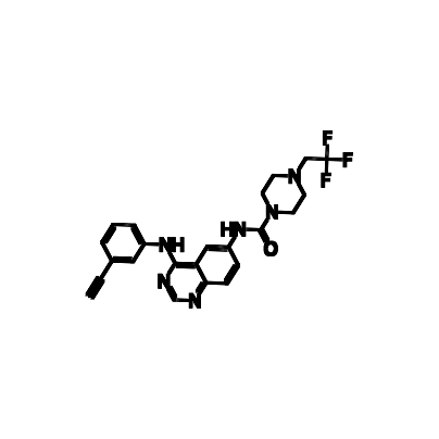 C#Cc1cccc(Nc2ncnc3ccc(NC(=O)N4CCN(CC(F)(F)F)CC4)cc23)c1